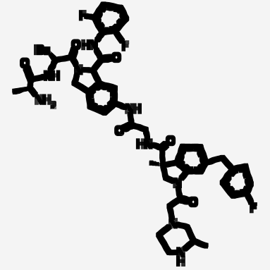 CC[C@H](C)C(NC(=O)[C@H](C)N)C(=O)N1Cc2ccc(NC(=O)CNC(=O)[C@]3(C)CN(C(=O)CN4CCNC(C)C4)c4cc(Cc5ccc(F)cc5)ccc43)cc2C1C(=O)Nc1c(F)cccc1F